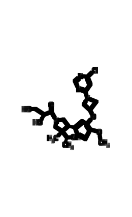 COc1ccc([C@@H]2CN(C(=O)[C@@H](O)CO)C[C@@]2(C)[C@@H](C)O)cc1OC1CN(c2cc(Cl)ncn2)C1